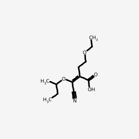 CCOCCC(C(=O)O)=C(C#N)OC(C)CC